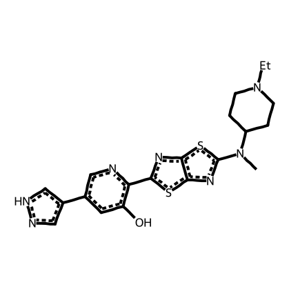 CCN1CCC(N(C)c2nc3sc(-c4ncc(-c5cn[nH]c5)cc4O)nc3s2)CC1